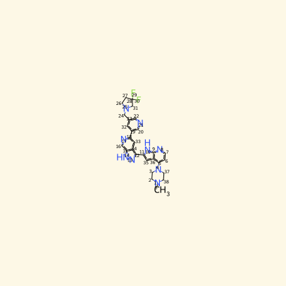 CN1CCN(c2ccnc3[nH]c(-c4n[nH]c5cnc(-c6cncc(CN7CCC(F)(F)C7)c6)cc45)cc23)CC1